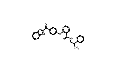 CC(CNC(=O)c1cccnc1Oc1ccc(C(=O)c2nc3ccccc3[nH]2)cc1)c1ccccc1